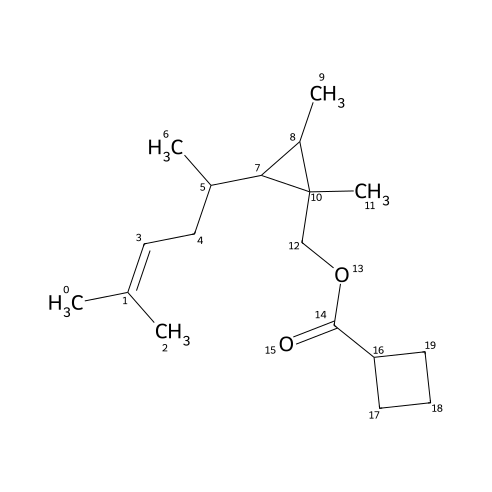 CC(C)=CCC(C)C1C(C)C1(C)COC(=O)C1CCC1